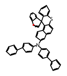 c1ccc(-c2ccc(N(c3ccc(-c4ccccc4)cc3)c3ccc4c5c(ccc4c3)Sc3ccccc3C53c4ccccc4-c4ccccc43)cc2)cc1